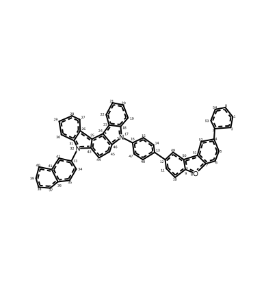 c1ccc(-c2ccc3oc4ccc(-c5ccc(-n6c7ccccc7c7c8c9ccccc9n(-c9ccc%10ccccc%10c9)c8ccc76)cc5)cc4c3c2)cc1